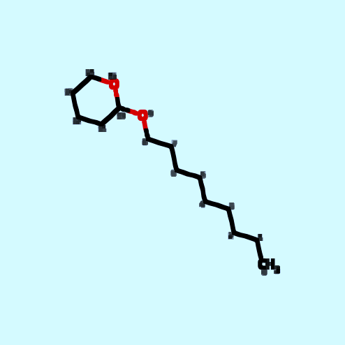 CCCCCCCCCOC1CCCCO1